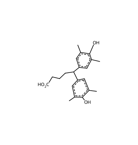 Cc1cc(C(CCCC(=O)O)c2cc(C)c(O)c(C)c2)cc(C)c1O